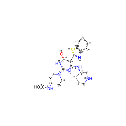 O=C(O)NC1CCN(c2nc(N[C@@H]3CCCNC3)c(-c3nc4ccccc4s3)c(=O)[nH]2)CC1